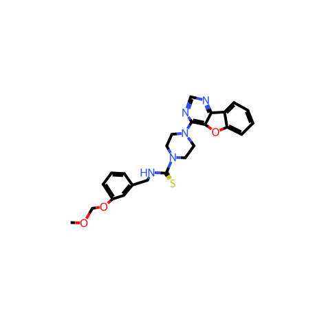 COCOc1cccc(CNC(=S)N2CCN(c3ncnc4c3oc3ccccc34)CC2)c1